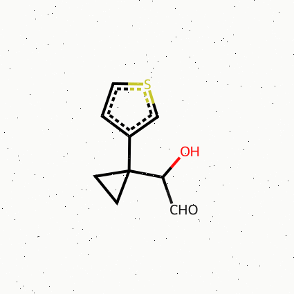 O=CC(O)C1(c2ccsc2)CC1